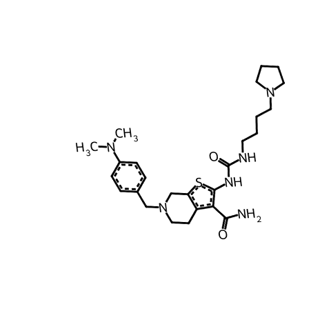 CN(C)c1ccc(CN2CCc3c(sc(NC(=O)NCCCCN4CCCC4)c3C(N)=O)C2)cc1